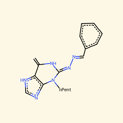 C=C1N/C(=N\N=C\c2ccccc2)N(CCCCC)c2nc[nH]c21